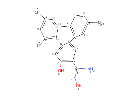 NC(=NO)c1cc(-c2cc(C(F)(F)F)ccc2-c2cc(Cl)cc(Cl)c2)ccc1O